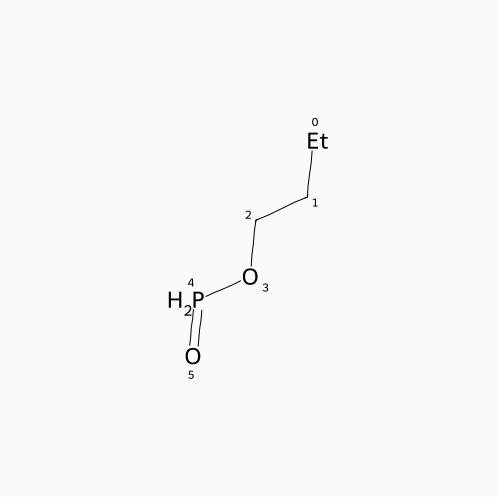 CCCCO[PH2]=O